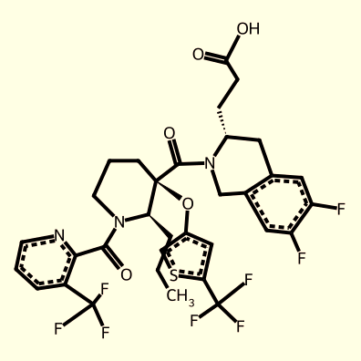 CCC[C@H]1N(C(=O)c2ncccc2C(F)(F)F)CCC[C@]1(Oc1csc(C(F)(F)F)c1)C(=O)N1Cc2cc(F)c(F)cc2C[C@H]1CCC(=O)O